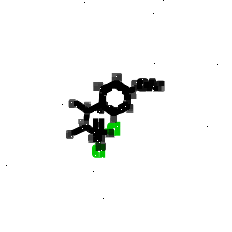 CC(=O)Oc1ccc(C(C)C(C)[SiH](Cl)Cl)cc1